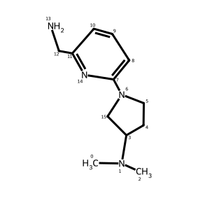 CN(C)C1CCN(c2cccc(CN)n2)C1